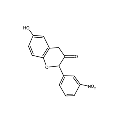 O=C1Cc2cc(O)ccc2OC1c1cccc([N+](=O)[O-])c1